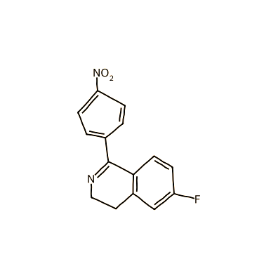 O=[N+]([O-])c1ccc(C2=NCCc3cc(F)ccc32)cc1